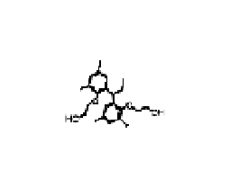 CCC(c1cc(C)cc(C)c1OCCO)c1cc(C)cc(C)c1OCCO